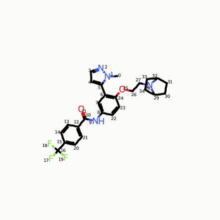 Cn1nccc1-c1cc(NC(=O)c2ccc(C(F)(F)F)cc2)ccc1OCCN1C2CCC1CC2